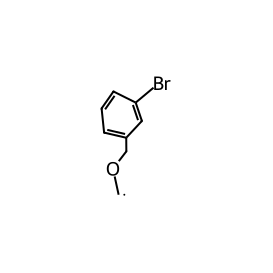 [CH2]OCc1cccc(Br)c1